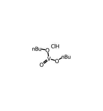 CCCC[O][V](=[O])[O]CCCC.Cl